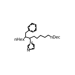 CCCCCCCCCCCCCCCC(C(CCCCCC)Cc1ccccc1)n1ccnc1